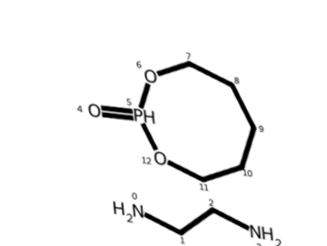 NCCN.O=[PH]1OCCCCCO1